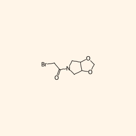 O=C(CBr)N1CC2OCOC2C1